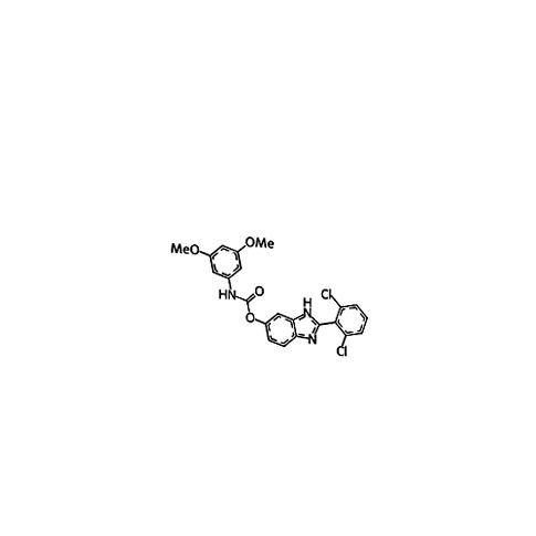 COc1cc(NC(=O)Oc2ccc3nc(-c4c(Cl)cccc4Cl)[nH]c3c2)cc(OC)c1